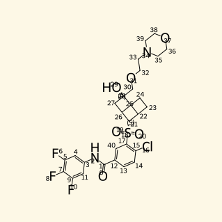 O=C(Nc1cc(F)c(F)c(F)c1)c1ccc(Cl)c(S(=O)(=O)[C@H]2C3CCC34C2C[C@]4(O)COCCN2CCOCC2)c1